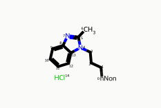 CCCCCCCCCCCCn1c(C)nc2ccccc21.Cl